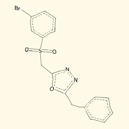 O=S(=O)(Cc1nnc(Cc2ccccc2)o1)c1cccc(Br)c1